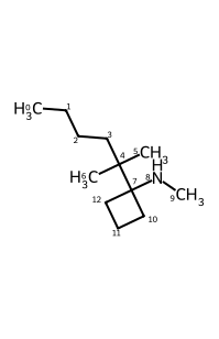 CCCCC(C)(C)C1(NC)CCC1